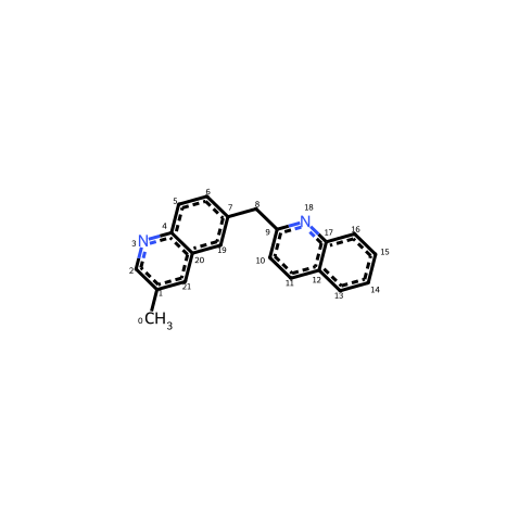 Cc1cnc2ccc(Cc3ccc4ccccc4n3)cc2c1